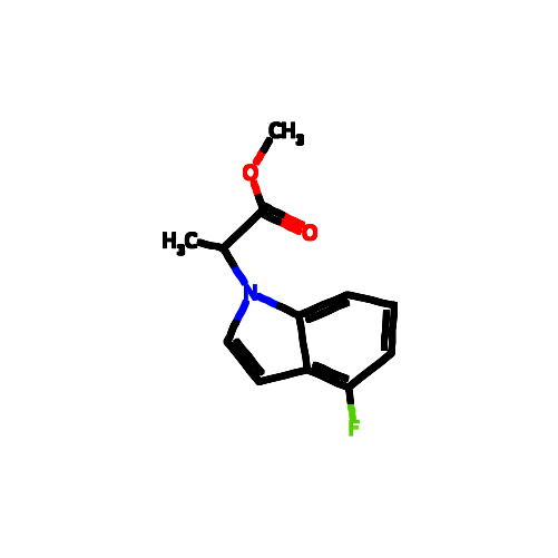 COC(=O)C(C)n1ccc2c(F)cccc21